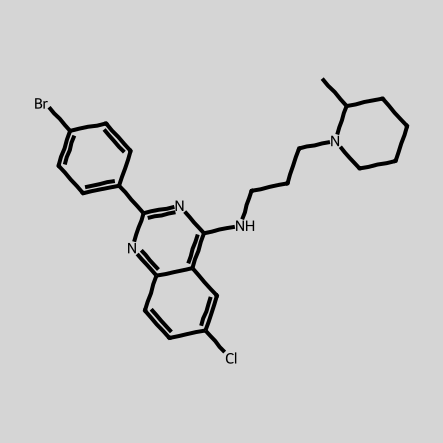 CC1CCCCN1CCCNc1nc(-c2ccc(Br)cc2)nc2ccc(Cl)cc12